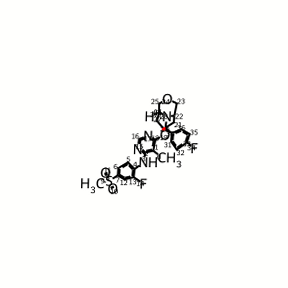 Cc1c(Nc2ccc(S(C)(=O)=O)cc2F)ncnc1OC1CC2COC[C@@H](C1)N2Cc1ccc(F)cc1